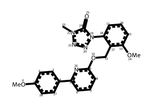 COc1ccc(-c2cccc(OCc3c(OC)cccc3-n3nnn(C)c3=O)n2)cc1